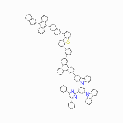 c1ccc(-c2cc(-c3ccccc3)nc(-c3cc(-n4c5ccccc5c5ccccc54)cc(-n4c5ccccc5c5cc(-c6ccc7c8cc(-c9cccc(-c%10cccc%11c%10sc%10cccc(-c%12ccc%13cc(-c%14c%15ccccc%15c(-c%15ccc%16ccccc%16c%15)c%15ccccc%14%15)ccc%13c%12)c%10%11)c9)ccc8c8ccccc8c7c6)ccc54)c3)n2)cc1